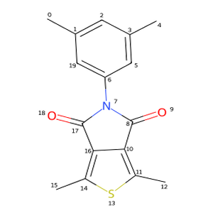 Cc1cc(C)cc(N2C(=O)c3c(C)sc(C)c3C2=O)c1